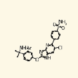 CC(=O)NC(C)(C)c1ccc(Oc2nc3nc(-c4ccc(S(N)(=O)=O)cc4)c(Cl)cc3[nH]2)cc1